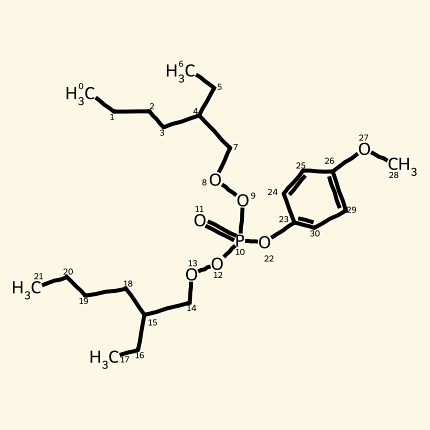 CCCCC(CC)COOP(=O)(OOCC(CC)CCCC)Oc1ccc(OC)cc1